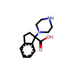 O=C(O)C1(N2CCNCC2)CCc2ccccc21